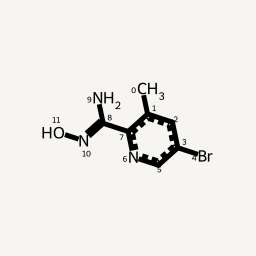 Cc1cc(Br)cnc1/C(N)=N/O